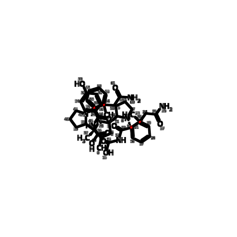 CC1C[C@H](C2CCCN2[C@@]2(C(=O)NC(=O)O)c3ccc(cc3)C2(C)CC(N)=O)N(c2ccc(O)cc2)[C@@]1(C)C1CCCN1[C@@]1(C(=O)NC(=O)O)c2ccc(cc2)C1(C)CC(N)=O